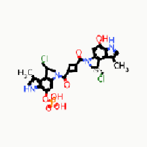 Cc1c[nH]c2c(OP(=O)(O)O)cc3c(c12)C(CCl)CN3C(=O)C12CC(C(=O)N3C[C@@H](CCl)c4c3cc(O)c3[nH]cc(C)c43)(C1)C2